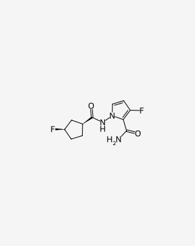 NC(=O)c1c(F)ccn1NC(=O)[C@H]1CC[C@@H](F)C1